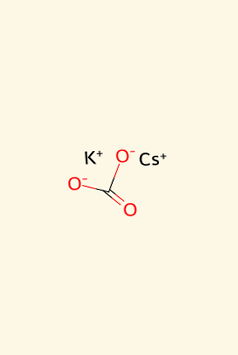 O=C([O-])[O-].[Cs+].[K+]